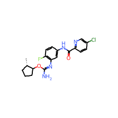 C[C@H]1CCCC1O/C(N)=N\c1cc(NC(=O)c2ccc(Cl)cn2)ccc1F